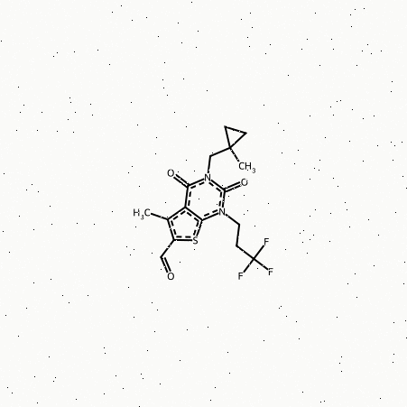 Cc1c(C=O)sc2c1c(=O)n(CC1(C)CC1)c(=O)n2CCC(F)(F)F